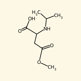 COC(=O)CC(NC(C)C)C(=O)O